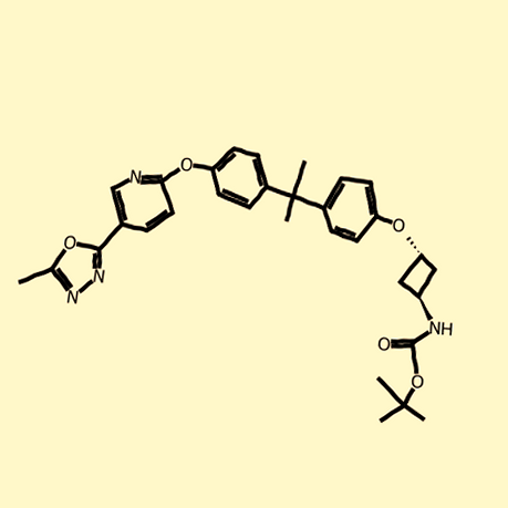 Cc1nnc(-c2ccc(Oc3ccc(C(C)(C)c4ccc(O[C@H]5C[C@H](NC(=O)OC(C)(C)C)C5)cc4)cc3)nc2)o1